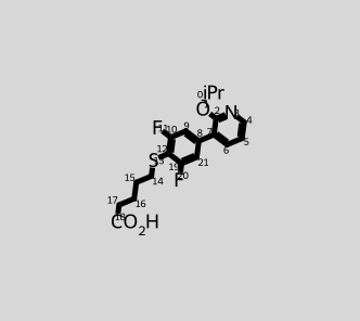 CC(C)Oc1ncccc1-c1cc(F)c(SCCCCC(=O)O)c(F)c1